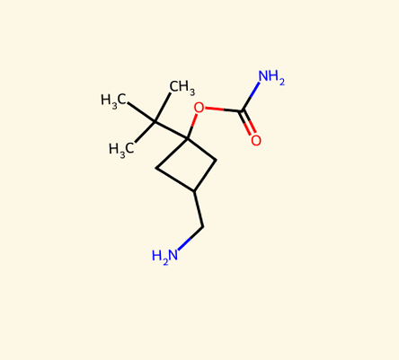 CC(C)(C)C1(OC(N)=O)CC(CN)C1